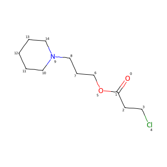 O=C(CCCl)OCCCN1CCCCC1